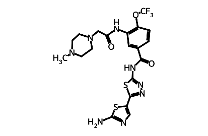 CN1CCN(CC(=O)Nc2cc(C(=O)Nc3nnc(-c4cnc(N)s4)s3)ccc2OC(F)(F)F)CC1